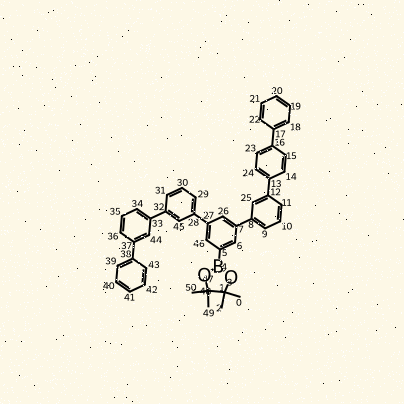 CC1(C)OB(c2cc(-c3cccc(-c4ccc(-c5ccccc5)cc4)c3)cc(-c3cccc(-c4cccc(-c5ccccc5)c4)c3)c2)OC1(C)C